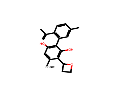 C=C(C)c1ccc(C)cc1-c1c(O)cc(CCCCC)c(C2CCO2)c1O